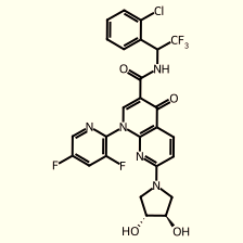 O=C(NC(c1ccccc1Cl)C(F)(F)F)c1cn(-c2ncc(F)cc2F)c2nc(N3C[C@@H](O)[C@H](O)C3)ccc2c1=O